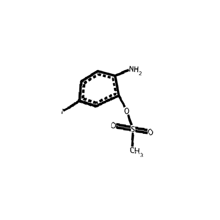 CS(=O)(=O)Oc1cc(I)ccc1N